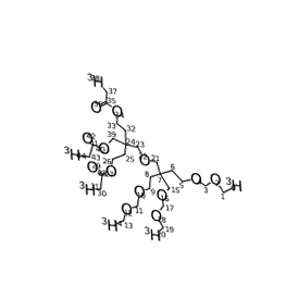 [3H]COCOCCC(CCOCOC[3H])(COCOC[3H])COCC(CCOC(=O)C[3H])(CCOC(=O)C[3H])COC(=O)C[3H]